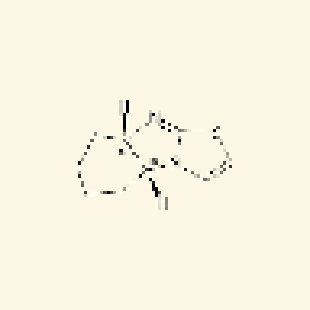 C1=CN2C(=N[C@H]3CCCC[C@H]32)S1